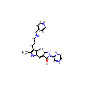 Cc1[nH]c(C=C2C=NN(c3cnccn3)C2=O)c(C(C)C)c1CCCNCc1ccncc1